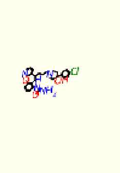 NC(=O)Nc1cccc2c1CC(=CCCN1CCC(O)(c3ccc(Cl)cc3)CC1)c1cccnc1O2